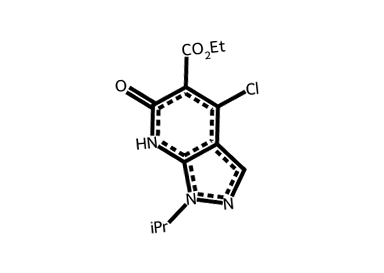 CCOC(=O)c1c(Cl)c2cnn(C(C)C)c2[nH]c1=O